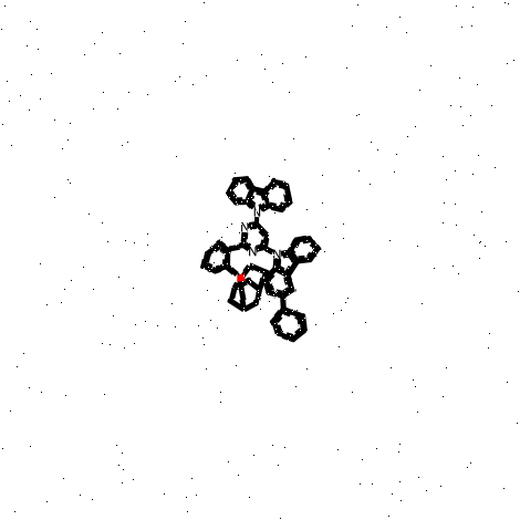 c1ccc(-c2ccc3c(c2)c2ccccc2n3-c2cc(-n3c4ccccc4c4ccccc43)nc(-c3ccccc3N3C4CC5CC(C4)CC3C5)n2)cc1